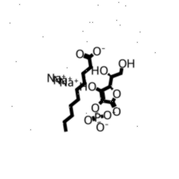 CCCCCCCCCC(=O)[O-].O=C1O[C@H]([C@@H](O)CO)C(O)=C1OP(=O)([O-])[O-].[Na+].[Na+].[Na+]